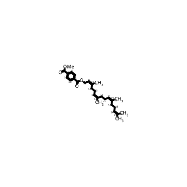 COC(=O)c1ccc(C(=O)OCC=C(C)CCC=C(C)CCC=C(C)CCC=C(C)C)cc1